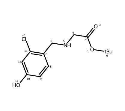 CC(C)(C)OC(=O)CNCc1ccc(O)cc1Cl